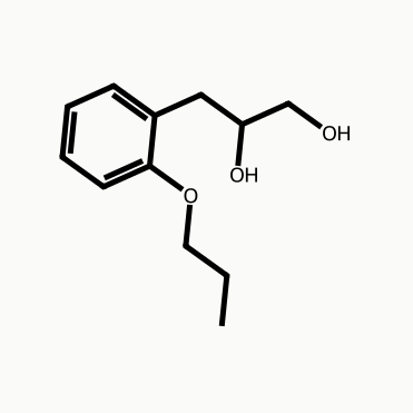 CCCOc1ccccc1CC(O)CO